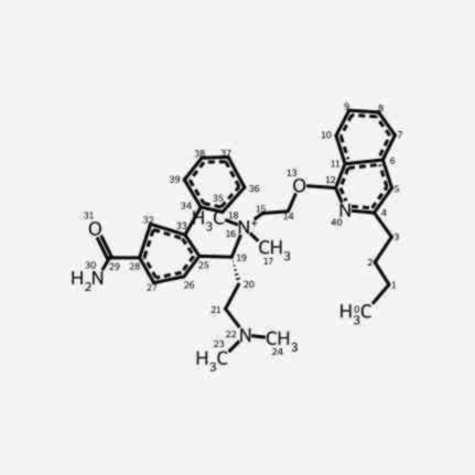 CCCCc1cc2ccccc2c(OCC[N+](C)(C)[C@H](CCN(C)C)c2ccc(C(N)=O)cc2-c2ccccc2)n1